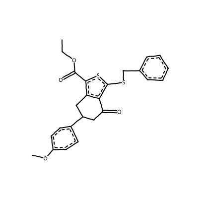 CCOC(=O)c1sc(SCc2ccccc2)c2c1CC(c1ccc(OC)cc1)CC2=O